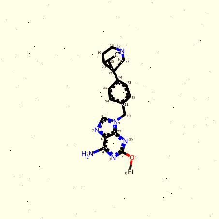 CCOc1nc(N)c2ncn(Cc3ccc(C4CN5CCC4CC5)cc3)c2n1